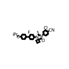 CC(C)Oc1ccc(-c2ccc(N3C(=S)N(c4ccc(C#N)c(Cl)c4)C(=O)C34CCC4)cc2F)cc1